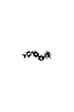 CC(C)N1CCN(Cc2ccc(-c3cncc(B4OC(C)(C)C(C)(C)O4)c3)cc2)CC1